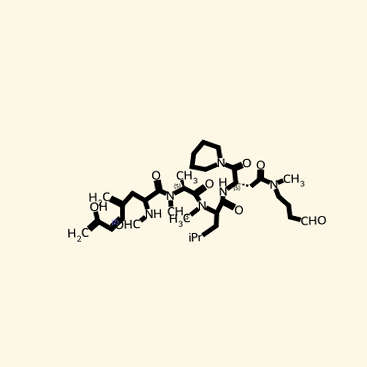 C=C(O)/C=C\C(=C)CC(NC=O)C(=O)N(C)[C@@H](C)C(=O)N(C)C(CC(C)C)C(=O)N[C@@H](CC(=O)N(C)CCCC=O)C(=O)N1CCCCC1